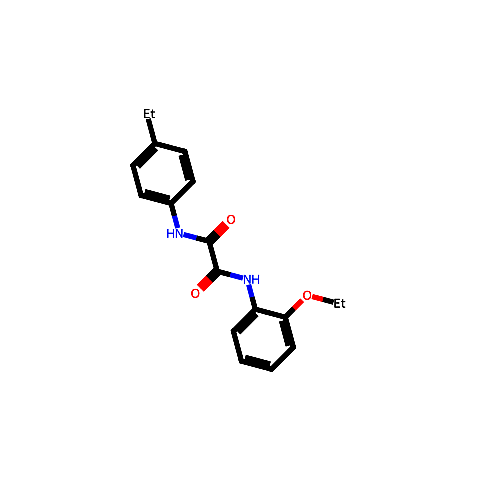 CCOc1ccccc1NC(=O)C(=O)Nc1ccc(CC)cc1